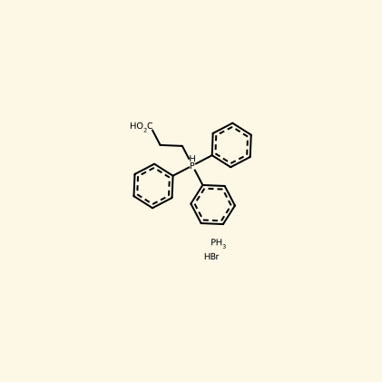 Br.O=C(O)CC[PH](c1ccccc1)(c1ccccc1)c1ccccc1.P